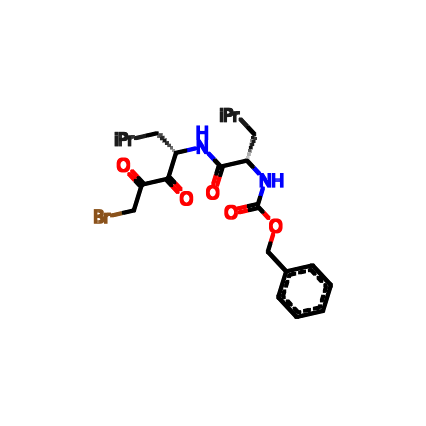 CC(C)C[C@H](NC(=O)OCc1ccccc1)C(=O)N[C@@H](CC(C)C)C(=O)C(=O)CBr